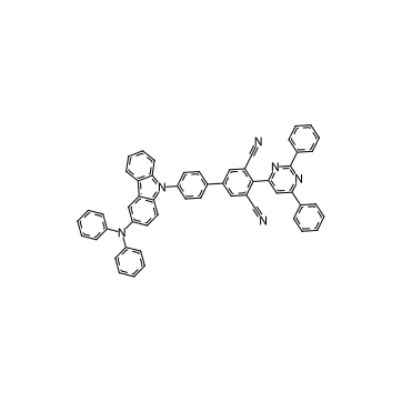 N#Cc1cc(-c2ccc(-n3c4ccccc4c4cc(N(c5ccccc5)c5ccccc5)ccc43)cc2)cc(C#N)c1-c1cc(-c2ccccc2)nc(-c2ccccc2)n1